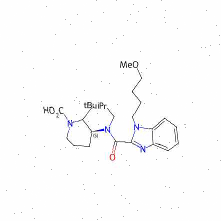 COCCCCn1c(C(=O)N(CC(C)C)[C@H]2CCCN(C(=O)O)C2C(C)(C)C)nc2ccccc21